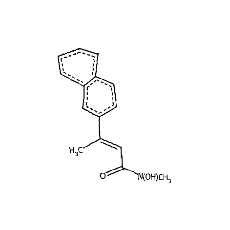 CC(=CC(=O)N(C)O)c1ccc2ccccc2c1